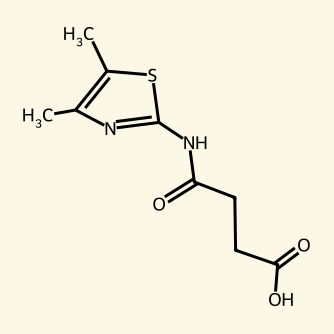 Cc1nc(NC(=O)CCC(=O)O)sc1C